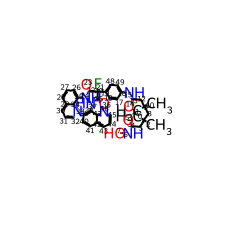 CC(C)(CC(=O)NO)CC(C)(C)CC(=O)Nc1ccc(C(F)(C(=O)Nc2cccc3cccnc23)C(=O)Nc2cccc3cccnc23)cc1